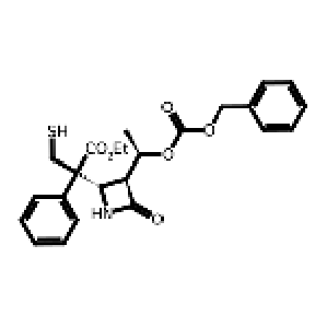 CCOC(=O)C(CS)(c1ccccc1)[C@H]1NC(=O)[C@@H]1[C@@H](C)OC(=O)OCc1ccccc1